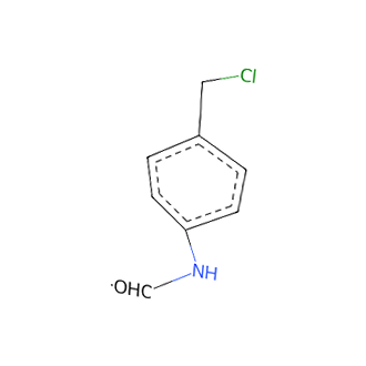 O=[C]Nc1ccc(CCl)cc1